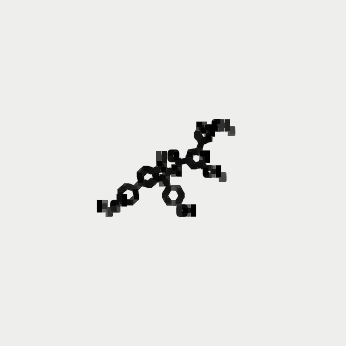 Cc1cc(C(=O)/N=c2\[nH]c3ccc(C4CCN(C)CC4)cc3n2[C@H]2CC[C@@H](O)CC2)cc(-c2cnn(C)c2)n1